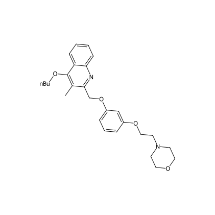 CCCCOc1c(C)c(COc2cccc(OCCN3CCOCC3)c2)nc2ccccc12